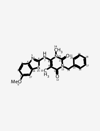 COc1ccc2nc(Nc3c(C)c(=O)n(Cc4ccccc4)c(=O)n3C)sc2c1